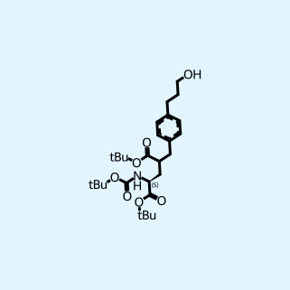 CC(C)(C)OC(=O)N[C@@H](CC(Cc1ccc(CCCO)cc1)C(=O)OC(C)(C)C)C(=O)OC(C)(C)C